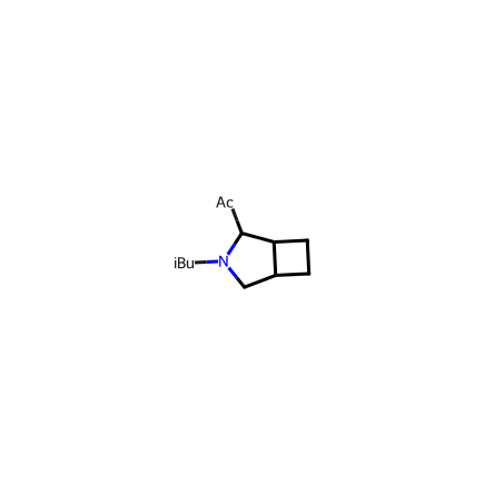 CCC(C)N1CC2CCC2C1C(C)=O